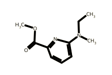 CCN(C)c1cccc(C(=O)OC)n1